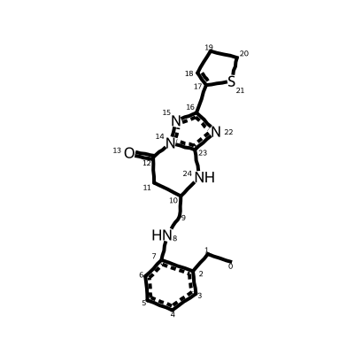 CCc1ccccc1NCC1CC(=O)n2nc(C3=CCCS3)nc2N1